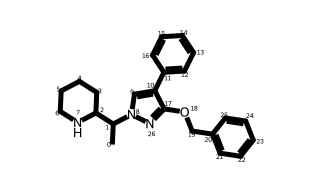 CC(C1CCCCN1)n1cc(-c2ccccc2)c(OCc2ccccc2)n1